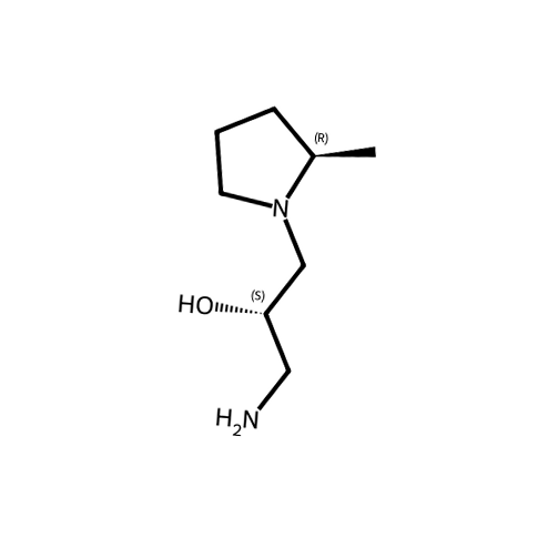 C[C@@H]1CCCN1C[C@@H](O)CN